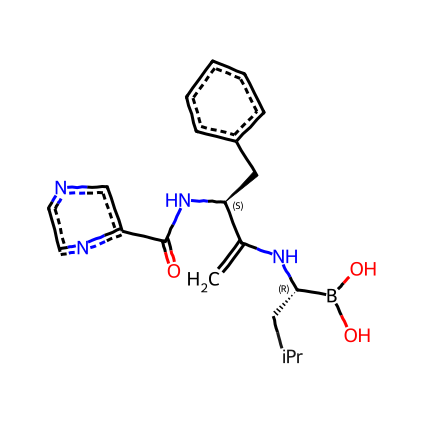 C=C(N[C@@H](CC(C)C)B(O)O)[C@H](Cc1ccccc1)NC(=O)c1cnccn1